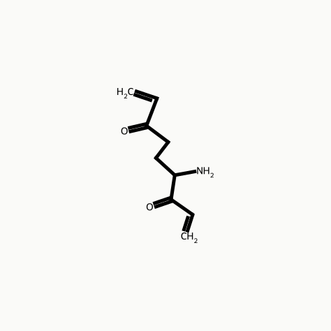 C=CC(=O)CCC(N)C(=O)C=C